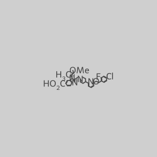 COC[C@H](C)n1c(CN2CCC(c3cccc(OCc4ccc(Cl)cc4F)n3)CC2)nc2ccc(C(=O)O)cc21